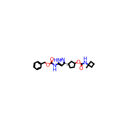 CC1(NC(=O)OC2CC[C@H](c3cc(NC(=O)OCc4ccccc4)[nH]n3)C2)CCC1